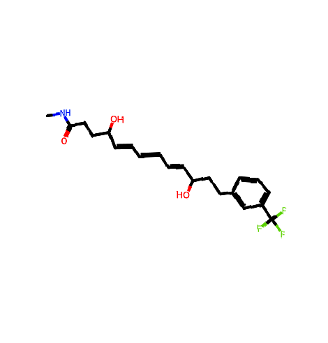 CNC(=O)CCC(O)/C=C/C=C/C=C/C(O)CCc1cccc(C(F)(F)F)c1